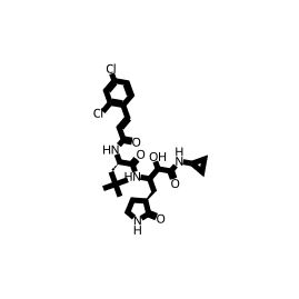 CC(C)(C)C[C@H](NC(=O)/C=C/c1ccc(Cl)cc1Cl)C(=O)NC(C[C@@H]1CCNC1=O)C(O)C(=O)NC1CC1